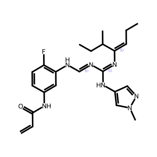 C=CC(=O)Nc1ccc(F)c(N/C=N/C(=N\C(=C\CC)C(C)CC)Nc2cnn(C)c2)c1